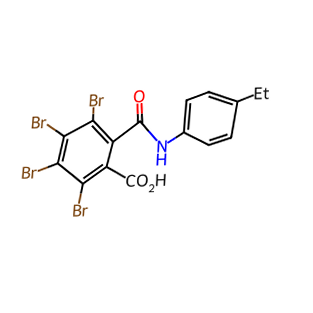 CCc1ccc(NC(=O)c2c(Br)c(Br)c(Br)c(Br)c2C(=O)O)cc1